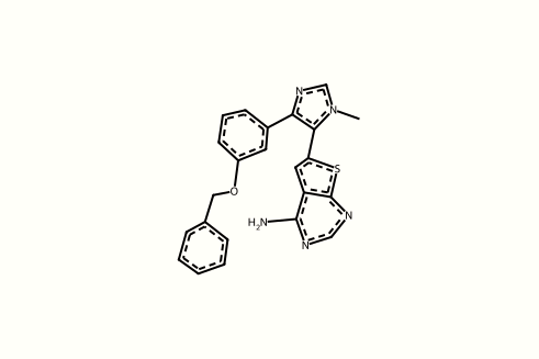 Cn1cnc(-c2cccc(OCc3ccccc3)c2)c1-c1cc2c(N)ncnc2s1